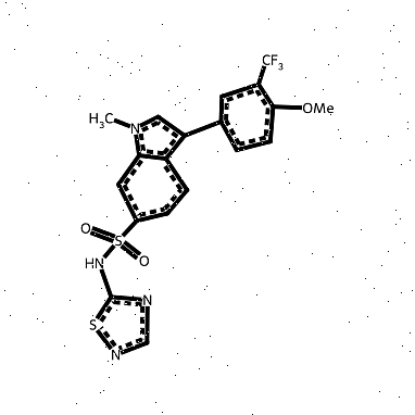 COc1ccc(-c2cn(C)c3cc(S(=O)(=O)Nc4ncns4)ccc23)cc1C(F)(F)F